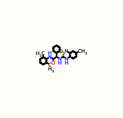 Cc1ccc(NC(=S)NC(C(=O)Nc2c(C)cccc2C)c2ccccc2)c([N+](=O)[O-])c1